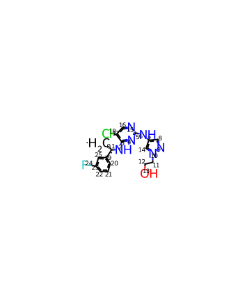 [CH2][C](Nc1nc(Nc2cnn(CCO)c2)ncc1Cl)c1cccc(F)c1